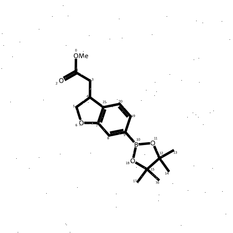 COC(=O)CC1COc2cc(B3OC(C)(C)C(C)(C)O3)ccc21